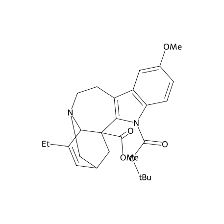 CCC1=CC2CN3CCc4c(n(C(=O)OC(C)(C)C)c5ccc(OC)cc45)C(C(=O)OC)(C2)C13